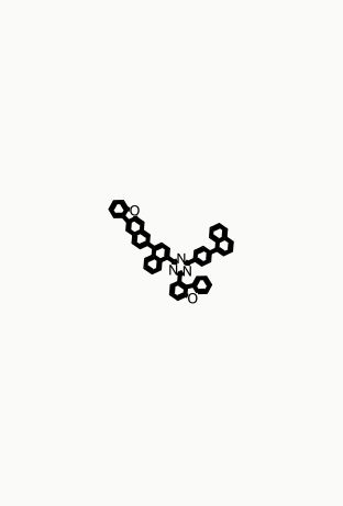 c1ccc2c(-c3ccc(-c4nc(-c5ccc(-c6ccc7cc8c(cc7c6)oc6ccccc68)c6ccccc56)nc(-c5cccc6oc7ccccc7c56)n4)cc3)cccc2c1